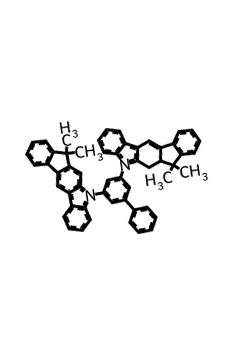 CC1(C)c2ccccc2-c2cc3c4ccccc4n(-c4cc(-c5ccccc5)cc(-n5c6c(c7ccccc75)C=C5c7ccccc7C(C)(C)C5C6)c4)c3cc21